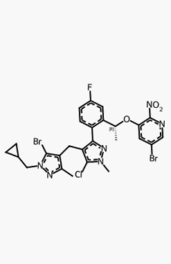 Cc1nn(CC2CC2)c(Br)c1Cc1c(-c2ccc(F)cc2[C@@H](C)Oc2cc(Br)cnc2[N+](=O)[O-])nn(C)c1Cl